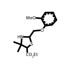 CCOC(=O)C1SC(COc2ccccc2OC)NC1(C)C